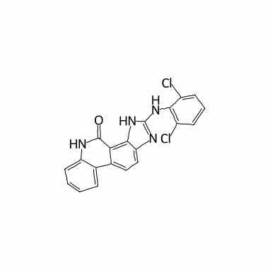 O=c1[nH]c2ccccc2c2ccc3nc(Nc4c(Cl)cccc4Cl)[nH]c3c12